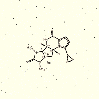 CN1C(=O)N(C)[C@]2(O)C[C@@H]3[C@@H](NC(=O)c4ccc(C5CC5)n43)[C@H]12